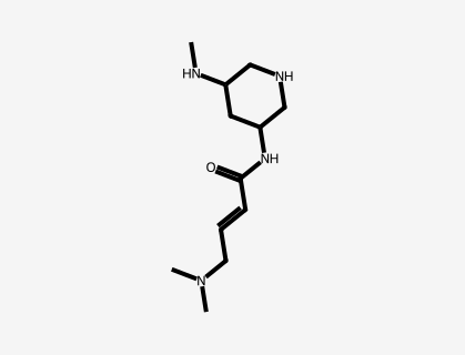 CNC1CNCC(NC(=O)/C=C/CN(C)C)C1